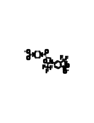 COC(=O)N1CCN(C(=O)[C@@H]2CN(c3ccc([N+](=O)[O-])c(C(F)(F)F)c3)[C@@H](C(F)(F)F)O2)CC1